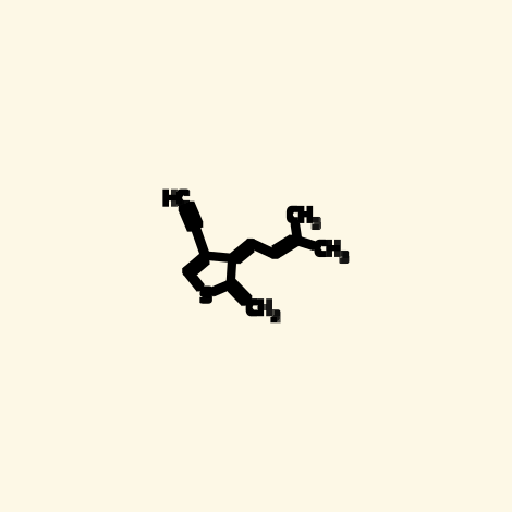 C#Cc1csc(=C)/c1=C\C=C(C)C